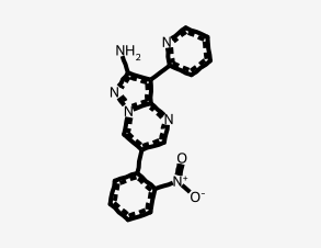 Nc1nn2cc(-c3ccccc3[N+](=O)[O-])cnc2c1-c1ccccn1